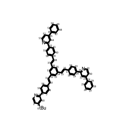 CC(C)(C)c1ccnc(-c2ccc(/C=C/c3cc(/C=C/c4ccc(-c5cc(-c6ccccc6)ccn5)cc4)cc(/C=C/c4ccc(-c5cc(-c6ccccc6)ccn5)cc4)c3)cc2)c1